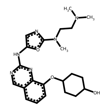 CN(C)CCN(C)c1ncc(Nc2ncc3cccc(OC4CCC(O)CC4)c3n2)o1